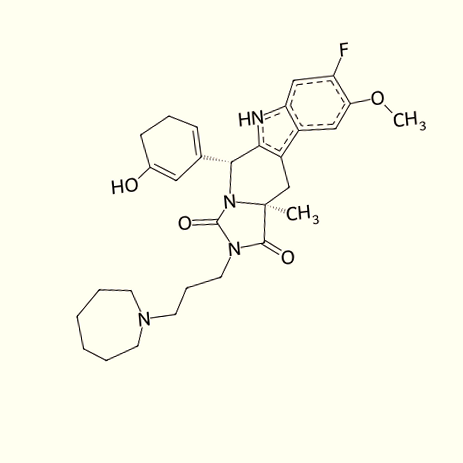 COc1cc2c3c([nH]c2cc1F)[C@@H](C1=CCCC(O)=C1)N1C(=O)N(CCCN2CCCCCC2)C(=O)[C@]1(C)C3